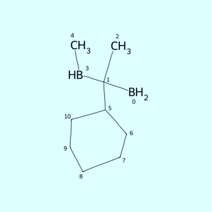 BC(C)(BC)C1CCCCC1